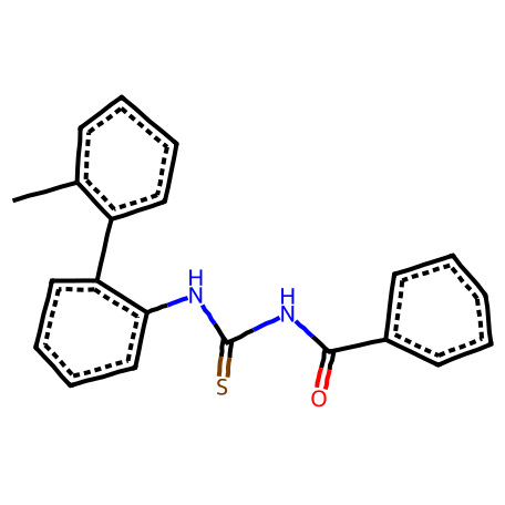 Cc1ccccc1-c1ccccc1NC(=S)NC(=O)c1ccccc1